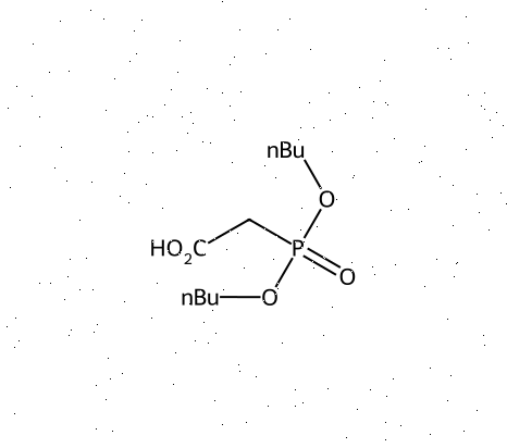 CCCCOP(=O)(CC(=O)O)OCCCC